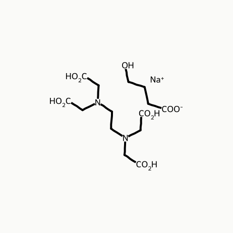 O=C(O)CN(CCN(CC(=O)O)CC(=O)O)CC(=O)O.O=C([O-])CCCO.[Na+]